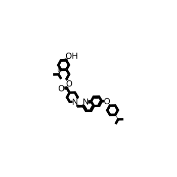 CC(C)[C@H]1CC[C@H](O)CC1CCOC(=O)C1CCN(Cc2ccc3cc(O[C@H]4CC[C@@H](C(C)C)CC4)ccc3n2)CC1